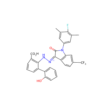 Cc1cc(N2C(=O)/C(=N\Nc3c(C(=O)O)cccc3-c3ccccc3O)c3ccc(C(F)(F)F)cc32)cc(C)c1F